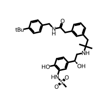 CC(C)(Cc1cccc(CC(=O)NCc2ccc(C(C)(C)C)cc2)c1)NC[C@@H](O)c1ccc(O)c(NS(C)(=O)=O)c1